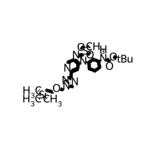 CC(C)(C)OC(=O)N[C@H]1CCC[C@@H](n2c(S(C)(=O)=O)nc3cnc(-c4ncn(COCC[Si](C)(C)C)n4)cc32)C1